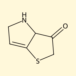 O=C1CSC2=CCNC12